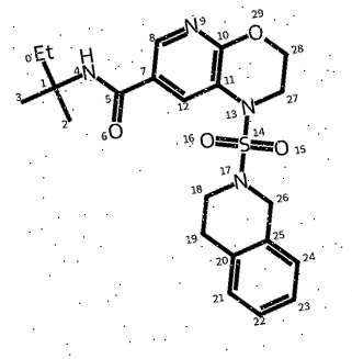 CCC(C)(C)NC(=O)c1cnc2c(c1)N(S(=O)(=O)N1CCc3ccccc3C1)CCO2